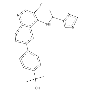 CC(Nc1c(Cl)cnc2ccc(-c3ccc(C(C)(C)O)cc3)cc12)c1cncs1